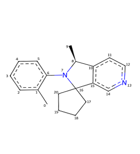 Cc1ccccc1N1[C@@H](C)c2ccncc2C12CCCC2